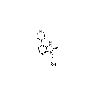 OCCn1c(=S)[nH]c2c(-c3ccncc3)ccnc21